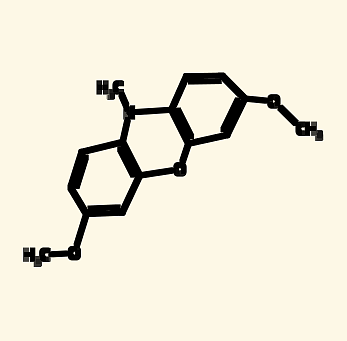 COc1ccc2c(c1)Oc1cc(OC)ccc1N2C